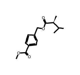 COC(=O)c1ccc(COC(=O)[C@@H](C)C(C)C)cc1